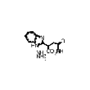 N.N.O=C(S)CC(C(=O)O)c1nc2ccccc2[nH]1